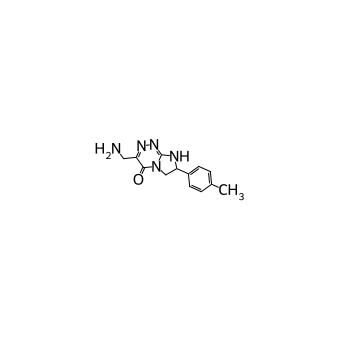 Cc1ccc(C2Cn3c(nnc(CN)c3=O)N2)cc1